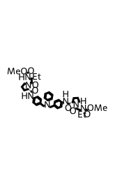 CC[C@H](NC(=O)OC)C(=O)N1CCC[C@H]1C(=O)Nc1ccc(CN(Cc2ccc(NC(=O)[C@@H]3CCCN3C(=O)[C@H](CC)NC(=O)OC)cc2)c2ccccc2)cc1